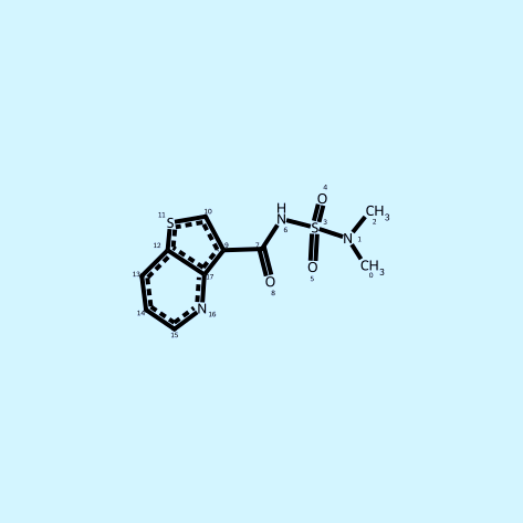 CN(C)S(=O)(=O)NC(=O)c1csc2cccnc12